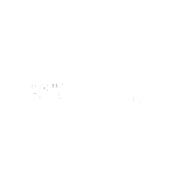 CCCCCCCCCCCCCCCCCC(=O)C(O)C[N+](C)(C)C